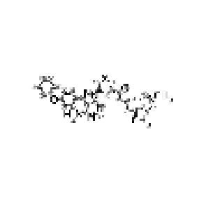 CN1CCC(N(C)CC=CC(=O)N2CCC[C@@H](n3nc(-c4ccc(Oc5ccccc5)cc4)c4c(N)ncnc43)C2)CC1